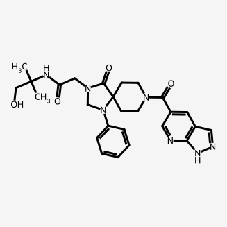 CC(C)(CO)NC(=O)CN1CN(c2ccccc2)C2(CCN(C(=O)c3cnc4[nH]ncc4c3)CC2)C1=O